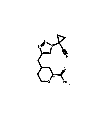 N#CC1(n2cc([CH]C3CCS[C@H](C(N)=O)C3)nn2)CC1